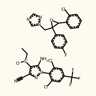 CC[S+]([O-])c1c(C#N)nn(-c2c(Cl)cc(C(F)(F)F)cc2Cl)c1N.Fc1ccc(C2(Cn3cncn3)OC2c2ccccc2Cl)cc1